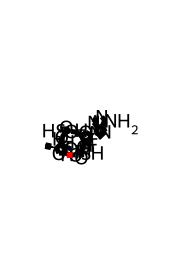 C#C[C@@H]1O[C@@H]2COP(=O)(S)O[C@H]3[C@@H](F)[C@H](n4cnc5c(N)ncnc54)O[C@@H]3COP(=O)(S)O[C@@H]1[C@@H]2O